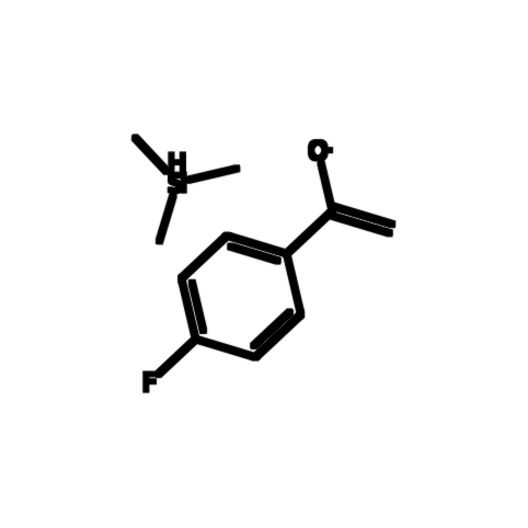 C=C([O])c1ccc(F)cc1.C[SiH](C)C